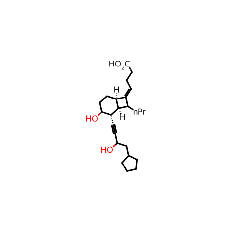 CCCC1/C(=C/CCC(=O)O)[C@@H]2CC[C@H](O)[C@@H](C#CC(O)CC3CCCC3)[C@H]12